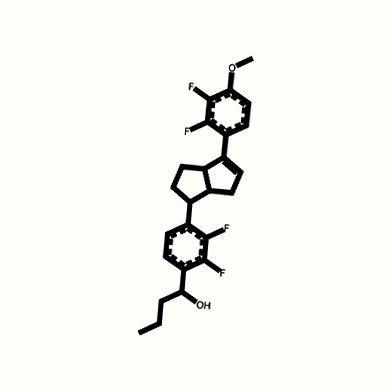 CCCC(O)c1ccc(C2CCC3C(c4ccc(OC)c(F)c4F)=CCC32)c(F)c1F